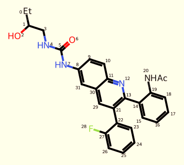 CCC(O)CNC(=O)Nc1ccc2nc(-c3ccccc3NC(C)=O)c(-c3ccccc3F)cc2c1